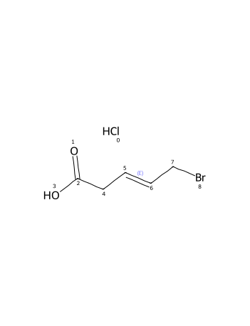 Cl.O=C(O)C/C=C/CBr